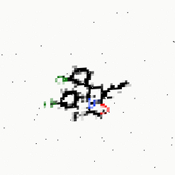 C=CC[C@@]1(C)CC(c2cccc(Cl)c2)[C@@H](c2ccc(Cl)cc2)[N+]2=C1OC[C@@H]2C(C)C